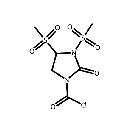 CS(=O)(=O)C1CN(C(=O)Cl)C(=O)N1S(C)(=O)=O